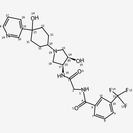 O=C(CNC(=O)c1cccc(C(F)(F)F)c1)N[C@H]1CN(C2CCC(O)(c3cccnc3)CC2)C[C@H]1O